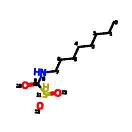 CCCCCCCCNC(=O)[SH](=O)=O